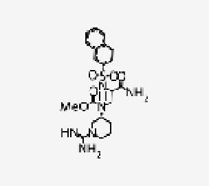 COC(=O)N(CC(NS(=O)(=O)c1ccc2ccccc2c1)C(N)=O)[C@@H]1CCCN(C(=N)N)C1